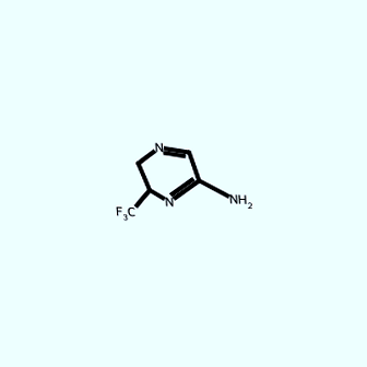 NC1=NC(C(F)(F)F)CN=C1